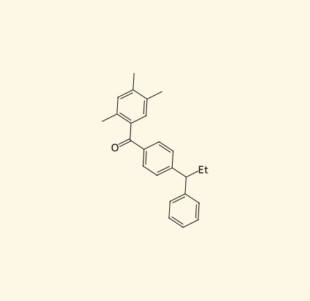 CCC(c1ccccc1)c1ccc(C(=O)c2cc(C)c(C)cc2C)cc1